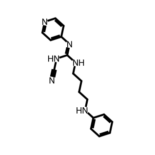 N#CNC(=Nc1ccncc1)NCCCCNc1ccccc1